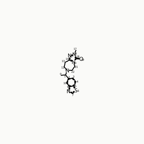 CC(c1ccc2scnc2c1)N1CCc2nn(C)c(=O)n2CC1